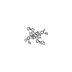 COc1ccc(Nc2ncc(Oc3cccc(N4CCOCC4)c3)cn2)cc1C#N.N#Cc1cc(Nc2ncc(Oc3cccc(N4CCCC4)c3)cn2)ccc1F